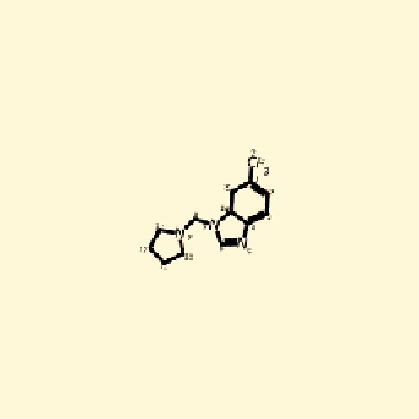 FC(F)(F)C1=CC=C2N=CN(CN3CCCC3)C2C1